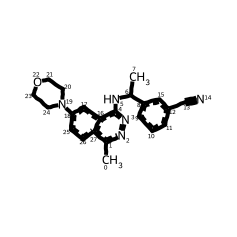 Cc1nnc(NC(C)c2cccc(C#N)c2)c2cc(N3CCOCC3)ccc12